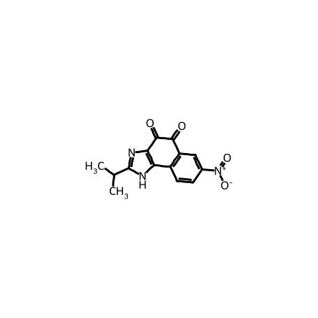 CC(C)c1nc2c([nH]1)-c1ccc([N+](=O)[O-])cc1C(=O)C2=O